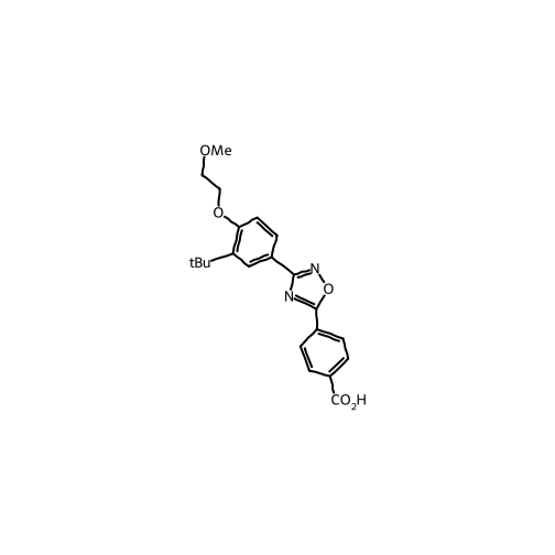 COCCOc1ccc(-c2noc(-c3ccc(C(=O)O)cc3)n2)cc1C(C)(C)C